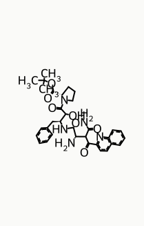 CC(C)(C)OC(=O)[C@@H]1CCCN1C(=O)C(O)[C@H](Cc1ccccc1)NC(=O)[C@@H](N)C(C(N)=O)C(=O)c1ccc2ccccc2n1